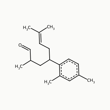 CC(C)=CCC(CC(C)C=O)c1ccc(C)cc1C